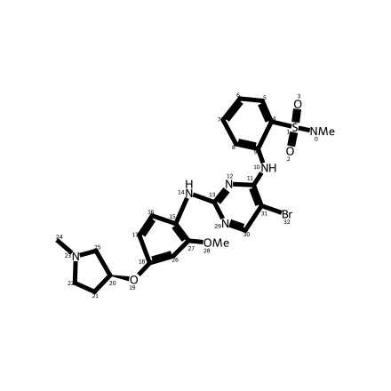 CNS(=O)(=O)c1ccccc1Nc1nc(Nc2ccc(O[C@H]3CCN(C)C3)cc2OC)ncc1Br